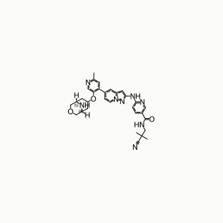 Cc1cc(-c2ccn3nc(Nc4ccc(C(=O)NCC(C)(C)C#N)cn4)cc3c2)c(OC2C[C@H]3COC[C@@H](C2)N3)cn1